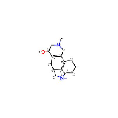 CN1CC(=O)C2=C(C1)C1=C3C(=CCC1)NCC3C2